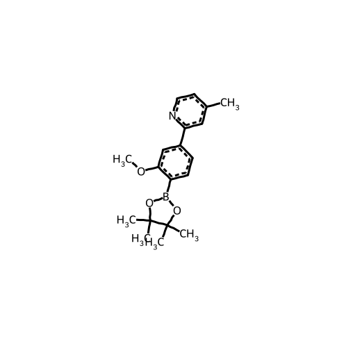 COc1cc(-c2cc(C)ccn2)ccc1B1OC(C)(C)C(C)(C)O1